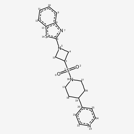 O=S(=O)(C1CN(c2nc3ccccc3s2)C1)N1CCC(c2ccncc2)CC1